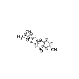 CN(C)S(=O)(=O)N1CCC2(CC1)CC(=O)c1cc(C#N)ccc1O2